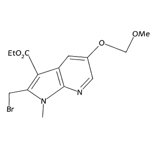 CCOC(=O)c1c(CBr)n(C)c2ncc(OCOC)cc12